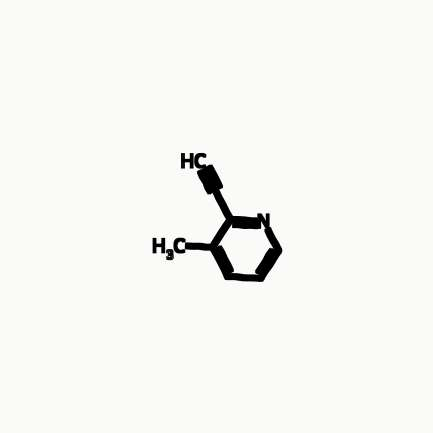 C#Cc1ncccc1C